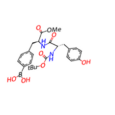 COC(=O)[C@H](Cc1ccc(B(O)O)cc1)NC(=O)[C@H](Cc1ccc(O)cc1)NC(=O)OC(C)(C)C